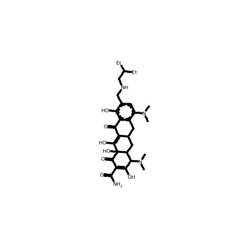 CCC(CC)CNCc1cc(N(C)C)c2c(c1O)C(=O)C1=C(O)C3(O)C(=O)C(C(N)=O)=C(O)C(N(C)C)C3CC1C2